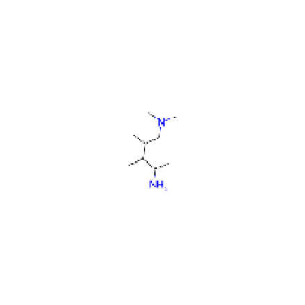 CC(N)C(C)C(C)CN(C)C